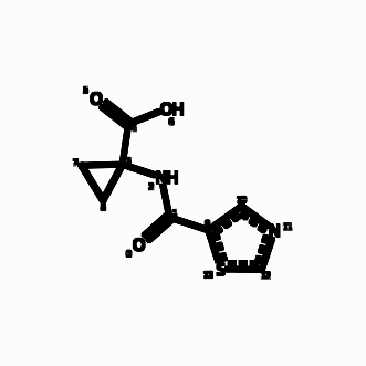 O=C(NC1(C(=O)O)CC1)c1cncs1